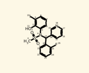 CS(=O)(=O)N(c1cccc(I)c1O)C(c1cccnc1)c1ccccc1F